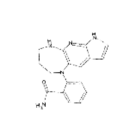 NC(=O)c1ccccc1N1CCCNc2nc3[nH]ccc3cc21